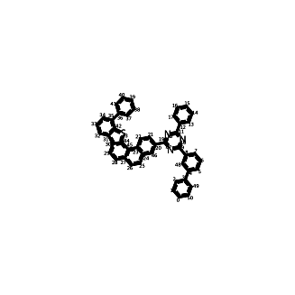 c1ccc(-c2cccc(-c3nc(-c4ccccc4)nc(-c4ccc5c(ccc6ccc7c8cccc(-c9ccccc9)c8sc7c65)c4)n3)c2)cc1